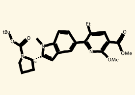 CCc1cc(C(=O)OC)c(OC)nc1-c1ccc2c(c1)cc([C@@H]1CCCN1C(=O)OC(C)(C)C)n2C